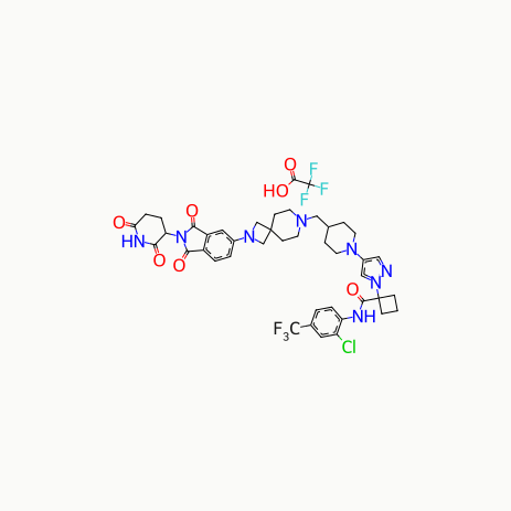 O=C(O)C(F)(F)F.O=C1CCC(N2C(=O)c3ccc(N4CC5(CCN(CC6CCN(c7cnn(C8(C(=O)Nc9ccc(C(F)(F)F)cc9Cl)CCC8)c7)CC6)CC5)C4)cc3C2=O)C(=O)N1